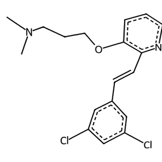 CN(C)CCCOc1cccnc1/C=C/c1cc(Cl)cc(Cl)c1